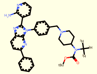 [2H]C([2H])([2H])N(C(=O)OC(C)(C)C)C1CCN(Cc2ccc(-n3c(-c4cccnc4N)nc4ccc(-c5ccccc5)nc43)cc2)CC1